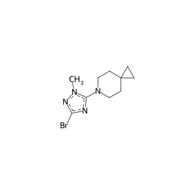 Cn1nc(Br)nc1N1CCC2(CC1)CC2